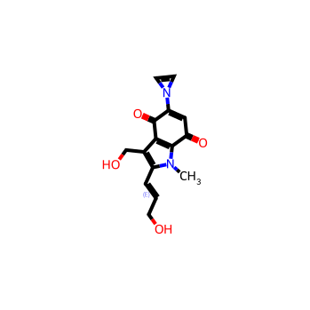 Cn1c(/C=C/CO)c(CO)c2c1C(=O)C=C(N1C=C1)C2=O